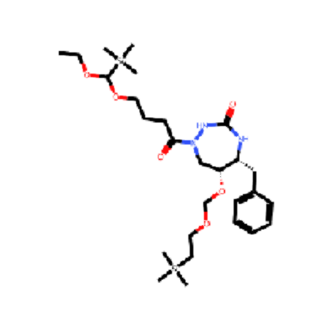 CCOC(OCCCC(=O)N1C[C@@H](OCOCC[Si](C)(C)C)[C@@H](Cc2ccccc2)NC(=O)N1)[Si](C)(C)C